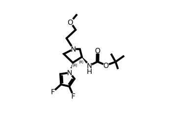 COCCN1C[C@@H](n2cc(F)c(F)c2)[C@H](NC(=O)OC(C)(C)C)C1